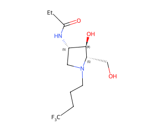 CCC(=O)N[C@H]1CN(CCCC(F)(F)F)[C@@H](CO)[C@@H]1O